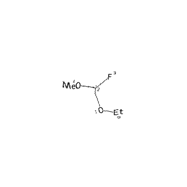 CCO[C](F)OC